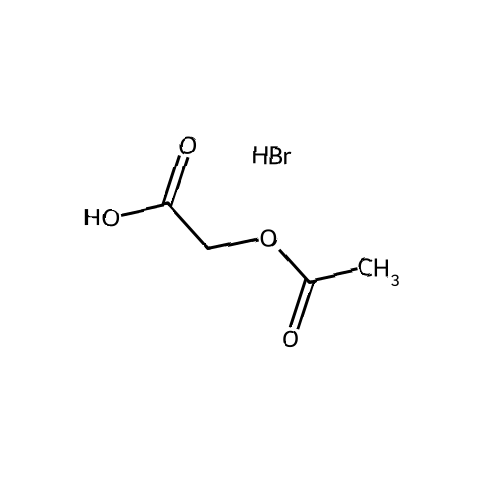 Br.CC(=O)OCC(=O)O